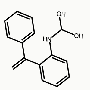 C=C(c1ccccc1)c1ccccc1NC(O)O